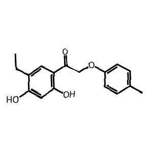 CCc1cc(C(=O)COc2ccc(C)cc2)c(O)cc1O